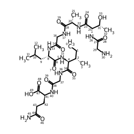 CC[C@H](C)[C@H](NC(=O)[C@H](CC(C)C)NC(=O)CNC(=O)[C@H](C)NC(=O)[C@@H](NC(=O)CN)[C@@H](C)O)C(=O)NCC(=O)N[C@@H](CCC(N)=O)C(=O)O